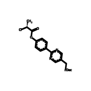 CCCCCCCCCCCc1cnc(-c2ccc(OC(=O)[C@@H](C)Cl)cc2)nc1